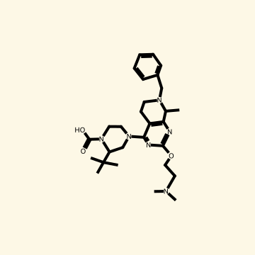 CC1c2nc(OCCN(C)C)nc(N3CCN(C(=O)O)C(C(C)(C)C)C3)c2CCN1Cc1ccccc1